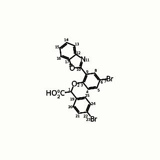 O=C(O)C(Oc1ccc(Br)cc1-c1nc2ccccc2o1)c1ccc(Br)cc1